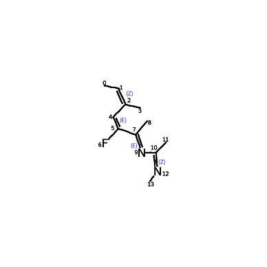 C\C=C(C)/C=C(F)\C(C)=N\C(C)=N/C